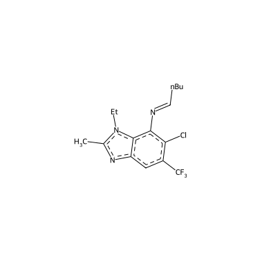 CCCCC=Nc1c(Cl)c(C(F)(F)F)cc2nc(C)n(CC)c12